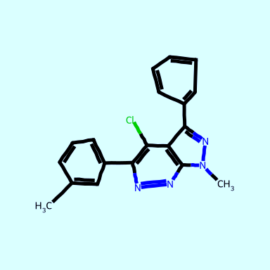 Cc1cccc(-c2nnc3c(c(-c4ccccc4)nn3C)c2Cl)c1